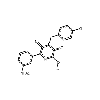 CCOc1nn(-c2cccc(NC(C)=O)c2)c(=O)n(Cc2ccc(Cl)cc2)c1=O